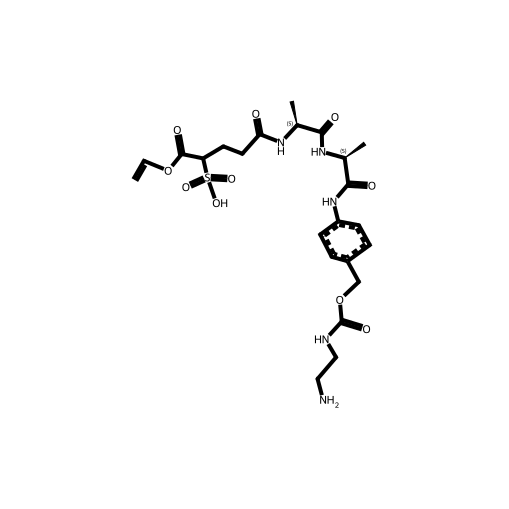 C=COC(=O)C(CCC(=O)N[C@@H](C)C(=O)N[C@@H](C)C(=O)Nc1ccc(COC(=O)NCCN)cc1)S(=O)(=O)O